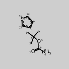 CC(C)(C)OC(N)=O.c1ccsc1